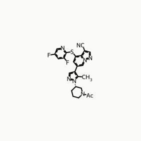 CC(=O)N1CCC[C@H](n2ncc(-c3cc(Sc4ncc(F)cc4F)c4c(C#N)cnn4c3)c2C)C1